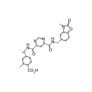 Cc1cc([C@H](C)NC(=O)c2cc(C(=O)NCc3ccc4oc(=O)n(C)c4c3)ncn2)ccc1C(=O)O